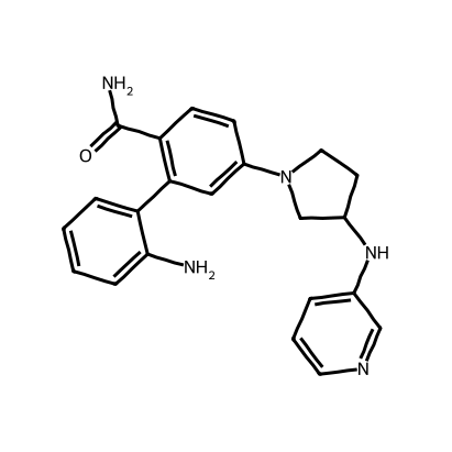 NC(=O)c1ccc(N2CCC(Nc3cccnc3)C2)cc1-c1ccccc1N